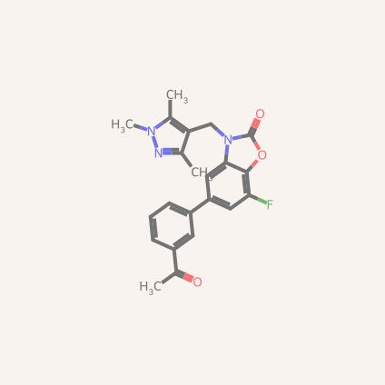 CC(=O)c1cccc(-c2cc(F)c3oc(=O)n(Cc4c(C)nn(C)c4C)c3c2)c1